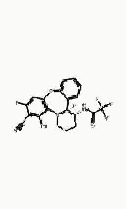 N#Cc1c(F)cc2c(c1Cl)N1CCC[C@@H](NC(=O)C(F)(F)F)[C@@H]1c1ccccc1O2